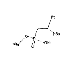 CCCCOP(=O)(O)CC(CC)CCCC